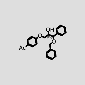 CC(=O)c1ccc(OC[C@@H](O)[C@H](OCc2ccccc2)c2ccccc2)cc1